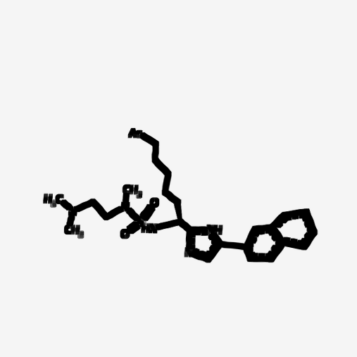 CC(=O)CCCCC[C@H](NS(=O)(=O)N(C)CCN(C)C)c1ncc(-c2ccc3ccccc3c2)[nH]1